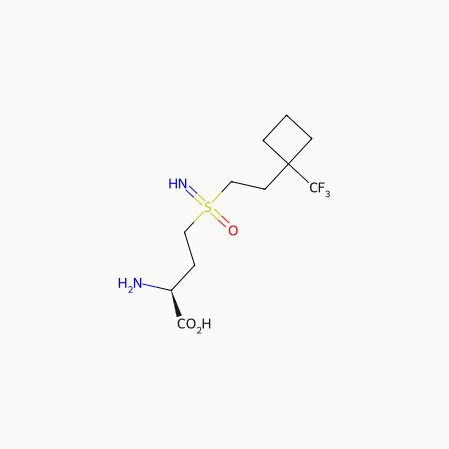 N=S(=O)(CC[C@H](N)C(=O)O)CCC1(C(F)(F)F)CCC1